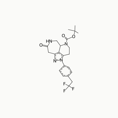 CC(C)(C)OC(=O)N1CCc2c3c(nn2-c2ccc(CC(F)(F)F)cc2)CC(=O)NCC31